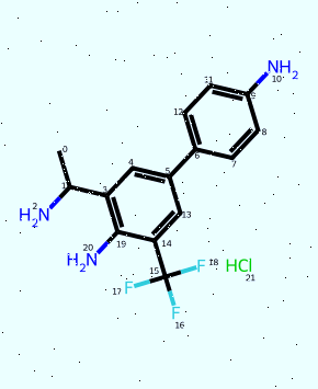 CC(N)c1cc(-c2ccc(N)cc2)cc(C(F)(F)F)c1N.Cl